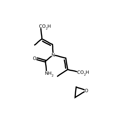 C1CO1.CC(=CN(C=C(C)C(=O)O)C(N)=O)C(=O)O